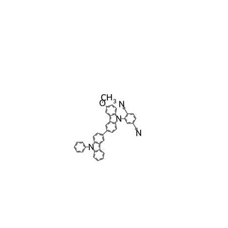 COc1ccc2c(c1)c1cc(-c3ccc4c(c3)c3ccccc3n4-c3ccccc3)ccc1n2-c1cc(C#N)ccc1C#N